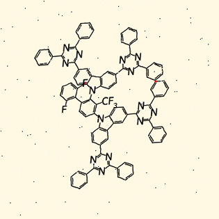 Fc1cccc(F)c1-c1ccc(-n2c3ccc(-c4nc(-c5ccccc5)nc(-c5ccccc5)n4)cc3c3cc(-c4nc(-c5ccccc5)nc(-c5ccccc5)n4)ccc32)c(C(F)(F)F)c1-n1c2ccc(-c3nc(-c4ccccc4)nc(-c4ccccc4)n3)cc2c2cc(-c3nc(-c4ccccc4)nc(-c4ccccc4)n3)ccc21